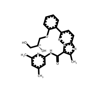 Cc1cc(C)nc(NC(=O)c2c(C)nc3ccc(-c4ccccc4OC[C@H](O)CO)nn23)c1